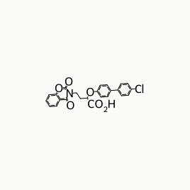 O=C(O)[C@@H](CCn1c(=O)oc2ccccc2c1=O)Oc1ccc(-c2ccc(Cl)cc2)cc1